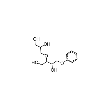 OCC(O)COC(CO)C(O)COc1ccccc1